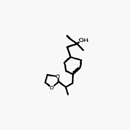 CC(CC1=CCC(CC(C)(C)O)CC1)C1OCCO1